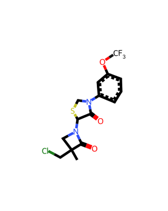 CC1(CCl)CN(C2SCN(c3cccc(OC(F)(F)F)c3)C2=O)C1=O